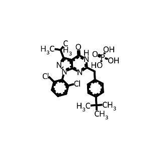 CC(C)c1nn(-c2c(Cl)cccc2Cl)c2nc(Cc3ccc(C(C)(C)C)cc3)[nH]c(=O)c12.O=P(O)(O)O